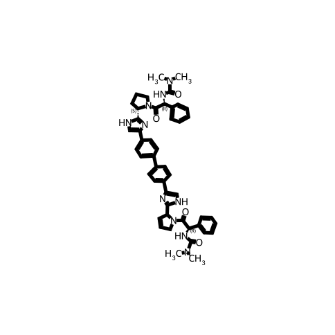 CN(C)C(=O)N[C@@H](C(=O)N1CC=CC1c1nc(-c2ccc(-c3ccc(-c4c[nH]c([C@@H]5CCCN5C(=O)[C@H](NC(=O)N(C)C)c5ccccc5)n4)cc3)cc2)c[nH]1)c1ccccc1